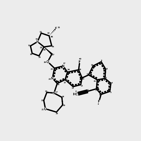 C#Cc1c(F)ccc2cccc(-c3ccc4c(N5CCCOCC5)nc(OC[C@@]56CCCN5C[C@H](F)C6)nc4c3F)c12